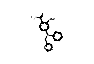 COc1cc(N(Cc2cncs2)c2ccccc2)ccc1C(N)=O